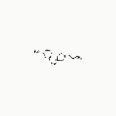 C=CCN1CC[C@H](/C=C\c2cccc(C(F)(F)F)c2)C1